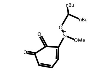 CCCCC(CCCC)O[SiH](OC)C1=CC=CC(=O)C1=O